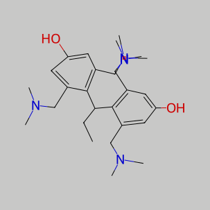 CCC(c1c(CN(C)C)cc(O)cc1CN(C)C)c1c(CN(C)C)cc(O)cc1CN(C)C